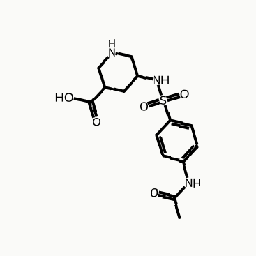 CC(=O)Nc1ccc(S(=O)(=O)NC2CNCC(C(=O)O)C2)cc1